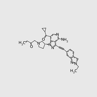 C=CC(=O)CN1CC[C@H](n2nc(C#Cc3ccc4cn(CC)nc4c3)c3c(N)ncc(C(=O)C4CC4)c32)C1